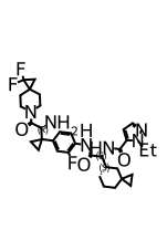 CCn1nccc1C(=O)N[C@H](C(=O)Nc1ccc(C2([C@@H](N)C(=O)N3CCC4(CC3)CC4(F)F)CC2)cc1F)[C@H]1CCCC2(CC2)C1